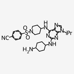 CC(C)n1cnc2c(NC3CCN(S(=O)(=O)c4ccc(C#N)cc4)CC3)nc(NC3CCC(N)CC3)nc21